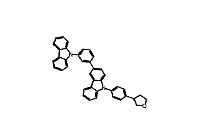 c1cc(-c2ccc3c(c2)c2ccccc2n3-c2ccc(C3CCOC3)cc2)cc(-n2c3ccccc3c3ccccc32)c1